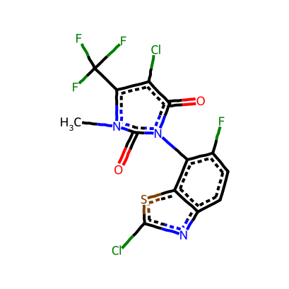 Cn1c(C(F)(F)F)c(Cl)c(=O)n(-c2c(F)ccc3nc(Cl)sc23)c1=O